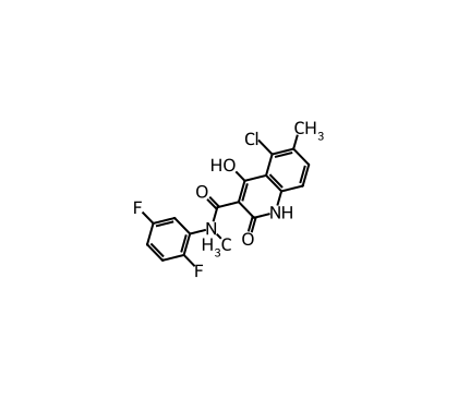 Cc1ccc2[nH]c(=O)c(C(=O)N(C)c3cc(F)ccc3F)c(O)c2c1Cl